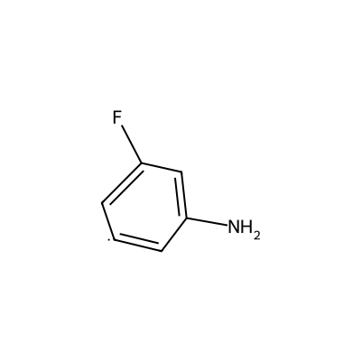 Nc1c[c]cc(F)c1